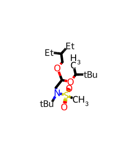 CCC(CC)COC(CN(C(C)(C)C)S(C)(=O)=O)OC(C)C(C)(C)C